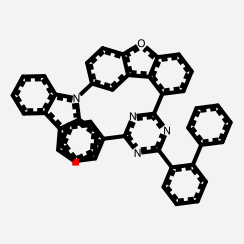 c1ccc(-c2nc(-c3ccccc3-c3ccccc3)nc(-c3cccc4oc5ccc(-n6c7ccccc7c7ccccc76)cc5c34)n2)cc1